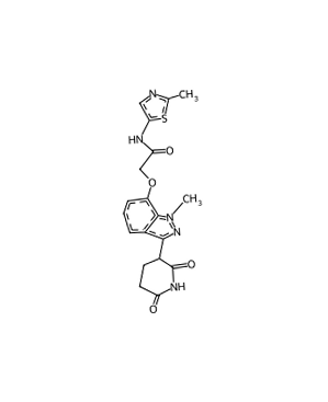 Cc1ncc(NC(=O)COc2cccc3c(C4CCC(=O)NC4=O)nn(C)c23)s1